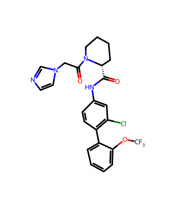 O=C(Nc1ccc(-c2ccccc2OC(F)(F)F)c(Cl)c1)[C@H]1CCCCN1C(=O)Cn1ccnc1